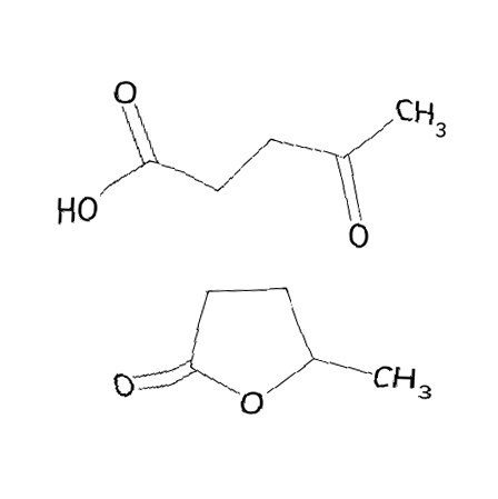 CC(=O)CCC(=O)O.CC1CCC(=O)O1